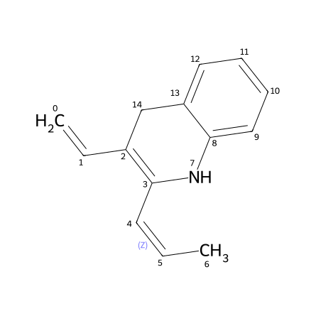 C=CC1=C(/C=C\C)Nc2ccccc2C1